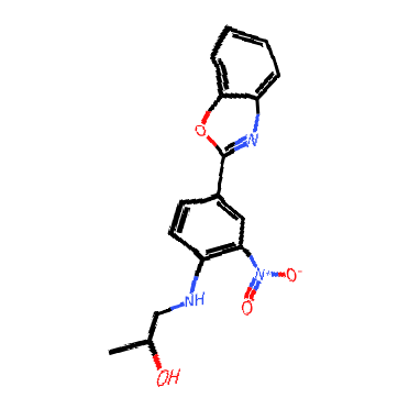 CC(O)CNc1ccc(-c2nc3ccccc3o2)cc1[N+](=O)[O-]